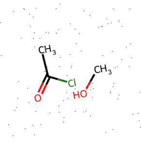 CC(=O)Cl.CO